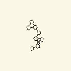 c1ccc(-c2cccc(-n3c4ccccc4c4c(-c5cccc(-c6ccc7c8ccccc8c8ccccc8c7c6)c5)cccc43)c2)cc1